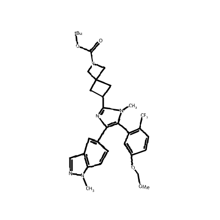 COCOc1ccc(C(F)(F)F)c(-c2c(-c3ccc4c(cnn4C)c3)nc(C3CC4(C3)CN(C(=O)OC(C)(C)C)C4)n2C)c1